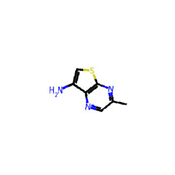 Cc1cnc2c(N)csc2n1